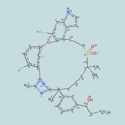 Cn1nc2nc1-c1cc(ccc1F)Oc1c(F)cc3[nH]ccc3c1CCS(=O)(=O)CC(C)(C)CCCC2(C)c1cccc(C(O)CC(=O)O)c1